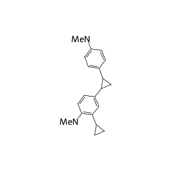 CNc1ccc(C2CC2c2ccc(NC)c(C3CC3)c2)cc1